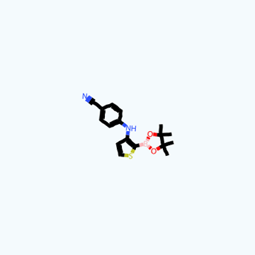 CC1(C)OB(c2sccc2Nc2ccc(C#N)cc2)OC1(C)C